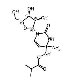 CC(C)C(=O)ONC1(N)C=CN([C@@H]2O[C@H](CO)[C@@H](O)[C@H]2O)C(=O)N1